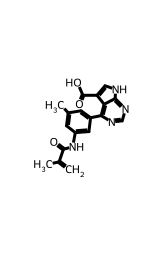 C=C(C)C(=O)Nc1cc(C)cc(-c2ncnc3[nH]cc(C(=O)O)c23)c1